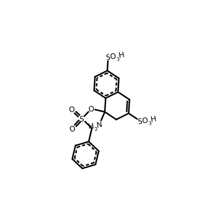 NC1(OS(=O)(=O)Cc2ccccc2)CC(S(=O)(=O)O)=Cc2cc(S(=O)(=O)O)ccc21